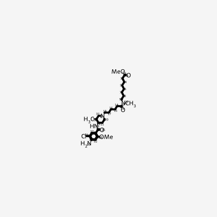 COC(=O)CCCCCCCN(C)C(=O)CCCCCN1CC[C@@H](NC(=O)c2cc(Cl)c(N)cc2OC)[C@@H](C)C1